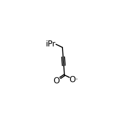 CC(C)CC#CC([O])=O